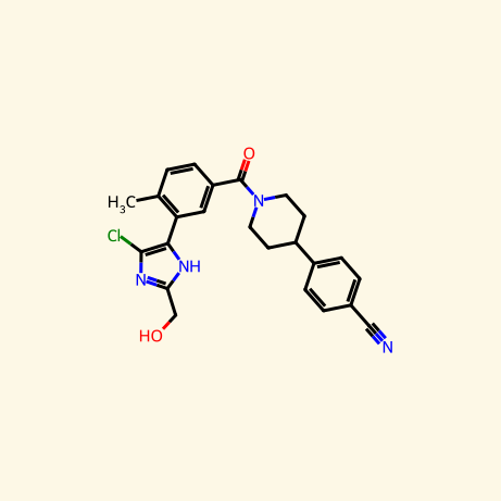 Cc1ccc(C(=O)N2CCC(c3ccc(C#N)cc3)CC2)cc1-c1[nH]c(CO)nc1Cl